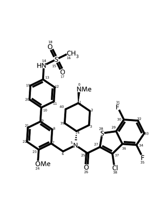 CN[C@H]1CC[C@H](N(Cc2cc(-c3ccc(NS(C)(=O)=O)cc3)ccc2OC)C(=O)c2sc3c(F)ccc(F)c3c2Cl)CC1